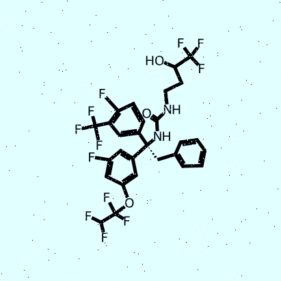 O=C(NCCC(O)C(F)(F)F)N[C@@](Cc1ccccc1)(c1cc(F)cc(OC(F)(F)C(F)F)c1)c1ccc(F)c(C(F)(F)F)c1